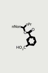 CCCCCCCCCC(CCC)OC(=O)c1cccc(C(=O)O)c1